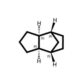 C1C[C@@H]2[C@H]3CC[C@H](C3)[C@@H]2C1